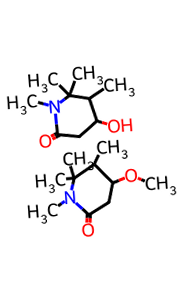 CC1C(O)CC(=O)N(C)C1(C)C.COC1CC(=O)N(C)C(C)(C)C1C